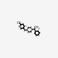 CC(c1ccccc1)N1CCN(Cc2ccc(Cl)nc2)CC1